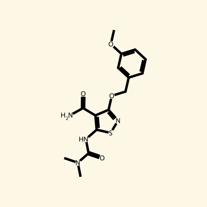 COc1cccc(COc2nsc(NC(=O)N(C)C)c2C(N)=O)c1